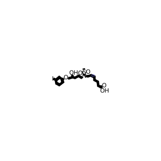 CS(=O)(=O)N(C/C=C\CCCC(=O)O)CCCC(O)COc1cccc(I)c1